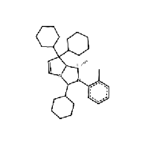 Cc1ccccc1N1C(C2CCCCC2)N2C=CC(C3CCCCC3)(C3CCCCC3)C2[C@@H]1C